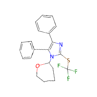 FC(F)(F)Sc1nc(-c2ccccc2)c(-c2ccccc2)n1C1CCCCO1